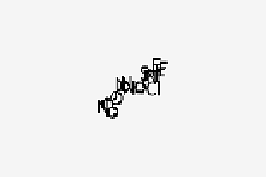 FC(F)(F)c1csc(-c2cc(-n3cc(COc4ccnc5ccccc45)nn3)ccc2Cl)n1